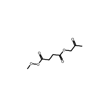 COOC(=O)CCC(=O)OCC(C)=O